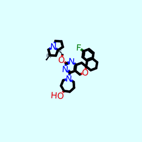 C[C@H]1CN2CCC[C@@]2(COc2nc3c(c(N4CCCC(O)CC4)n2)COC2(CCCc4ccc(F)cc42)C3)C1